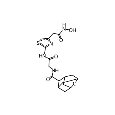 O=C(Cc1csc(NC(=O)CNC(=O)C2C3CC4CC(C3)CC2C4)n1)NO